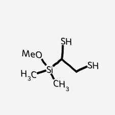 CO[Si](C)(C)C(S)CS